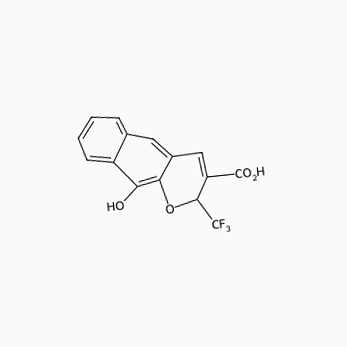 O=C(O)C1=Cc2cc3ccccc3c(O)c2OC1C(F)(F)F